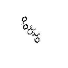 O=C(NC[C@@H]1CCS[C@H](c2ccc(Oc3ccccc3)cc2)C(=O)N1)c1nccnn1